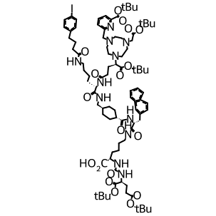 CC(C)(C)OC(=O)CC[C@H](NC(=O)N[C@@H](CCCCNC(=O)[C@@H](Cc1ccc2ccccc2c1)NC(=O)[C@H]1CC[C@H](CNC(=O)[C@H](CCCCNC(=O)CCCc2ccc(I)cc2)NC(=O)CC[C@H](C(=O)OC(C)(C)C)N2CCN(CC(=O)OC(C)(C)C)CCN(Cc3cccc(C(=O)OC(C)(C)C)n3)CC2)CC1)C(=O)O)C(=O)OC(C)(C)C